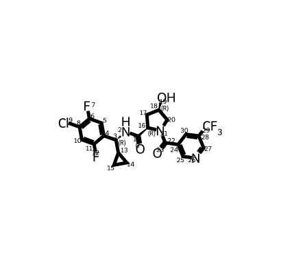 O=C(N[C@@H](c1cc(F)c(Cl)cc1F)C1CC1)[C@H]1C[C@@H](O)CN1C(=O)c1cncc(C(F)(F)F)c1